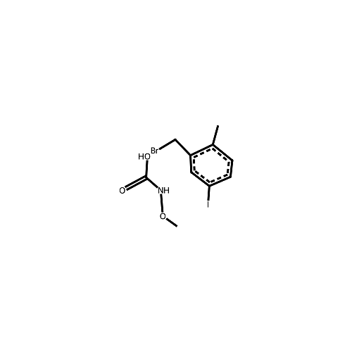 CONC(=O)O.Cc1ccc(I)cc1CBr